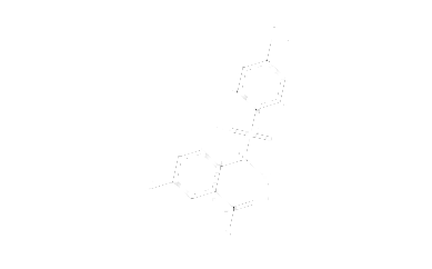 Cc1ccc(S(=O)(=O)N(c2ccc(Cl)cc2C(N)=S)C(C)C)cc1